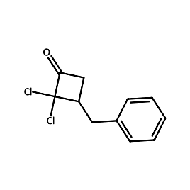 O=C1CC(Cc2ccccc2)C1(Cl)Cl